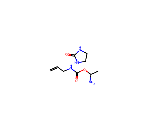 C=CCNC(=O)OC(C)N.O=C1NCCN1